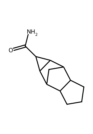 NC(=O)C1C2C3CC(C4CCCC43)C12